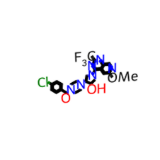 COc1cc2c(N3CC(O)C(N4CCN(C(=O)c5ccc(Cl)cc5)CC4)C3)nc(C(F)(F)F)nc2cn1